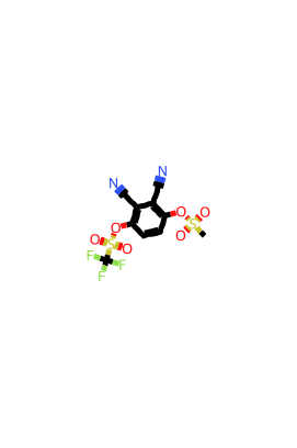 CS(=O)(=O)Oc1ccc(OS(=O)(=O)C(F)(F)F)c(C#N)c1C#N